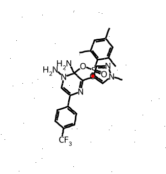 Cc1cc(C)c(S(=O)(=O)OC2(N)C(c3cnn(C)c3)=NC(c3ccc(C(F)(F)F)cc3)=CN2N)c(C)c1